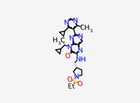 CCS(=O)(=O)N1CC[C@@H](CNc2nc3cnc(-c4c(C)ncnc4C4CC4)nc3n([C@@H](C)C3CC3)c2=O)C1